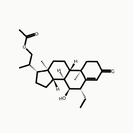 CC[C@H]1C2=CC(=O)CC[C@]2(C)[C@H]2CC[C@]3(C)[C@@H](C(C)COC(C)=O)CC[C@H]3[C@@H]2[C@@H]1O